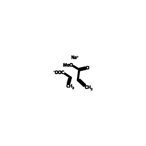 C=CC(=O)OC.C=CC(=O)[O-].[Na+]